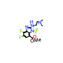 COC(=O)c1cc(F)c(F)c2nc(NCCN(C)C)n(SF)c12